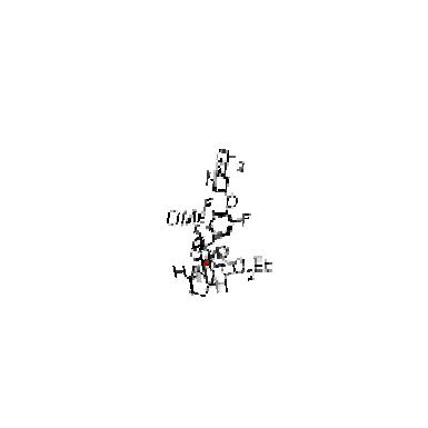 CCOC(=O)[C@@H]1[C@@H]2CC[C@H](CN1S(=O)(=O)c1cc(F)c(Oc3cnn(C)c3)c(F)c1)N2C(=O)OCCOC